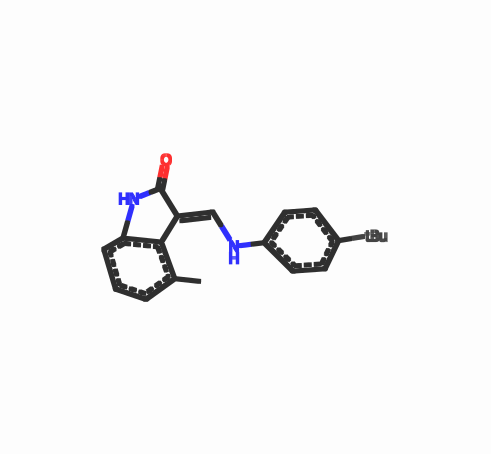 Cc1cccc2c1/C(=C\Nc1ccc(C(C)(C)C)cc1)C(=O)N2